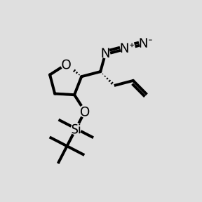 C=CC[C@@H](N=[N+]=[N-])[C@H]1OCCC1O[Si](C)(C)C(C)(C)C